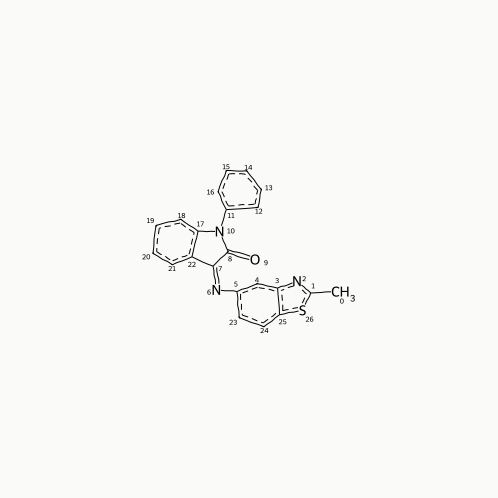 Cc1nc2cc(N=C3C(=O)N(c4ccccc4)c4ccccc43)ccc2s1